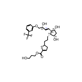 O=C(OCCCO)C1=CCC(CCC[C@@H]2[C@@H](/C=C/[C@@H](O)COc3cccc(C(F)(F)F)c3)[C@H](O)C[C@@H]2O)S1